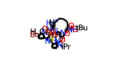 CC(C)n1c(O[C@@H]2C[C@H]3C(=O)N[C@]4(C(=O)NS(=O)(=O)N(C)C)C[C@H]4/C=C\CCCCC[C@H](NC(=O)OC(C)(C)C)C(=O)N3C2)nc2c(-c3nc(-c4ccc(Br)cc4)cs3)cccc21